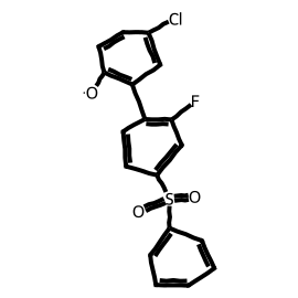 [O]c1ccc(Cl)cc1-c1ccc(S(=O)(=O)c2ccccc2)cc1F